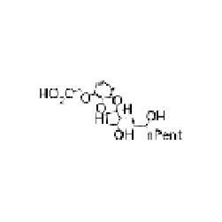 CCCCC[C@@H](O)/C=C/[C@H]1[C@@H]2Oc3cccc(OCC(=O)O)c3O[C@@H]2C[C@@H]1O